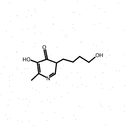 CC1=C(O)C(=O)C(CCCCO)C=N1